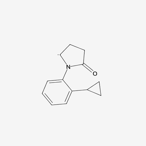 O=C1CC[CH]N1c1ccccc1C1CC1